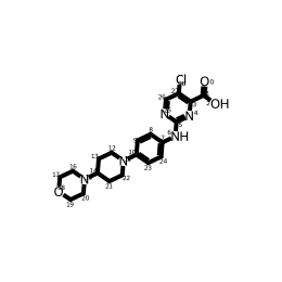 O=C(O)c1nc(Nc2ccc(N3CCC(N4CCOCC4)CC3)cc2)ncc1Cl